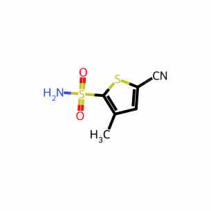 Cc1cc(C#N)sc1S(N)(=O)=O